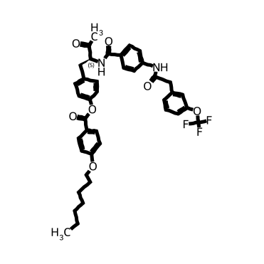 CCCCCCCOc1ccc(C(=O)Oc2ccc(C[C@H](NC(=O)c3ccc(NC(=O)Cc4cccc(OC(F)(F)F)c4)cc3)C(C)=O)cc2)cc1